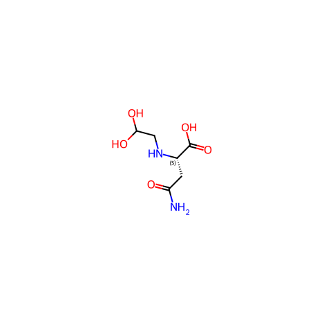 NC(=O)C[C@H](NCC(O)O)C(=O)O